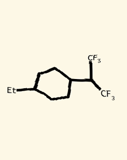 CCC1CCC(C(C(F)(F)F)C(F)(F)F)CC1